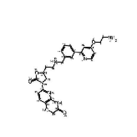 NCCOc1ccnc(-c2cccc(CNCC[C@H]3CN(c4ccc5c(n4)NC(=O)CO5)C(=O)O3)c2)c1